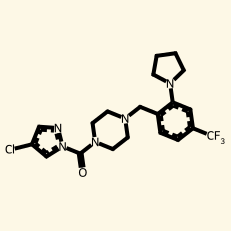 O=C(N1CCN(Cc2ccc(C(F)(F)F)cc2N2CCCC2)CC1)n1cc(Cl)cn1